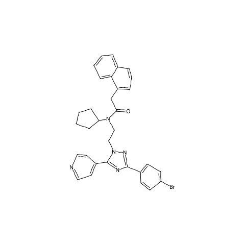 O=C(Cc1cccc2ccccc12)N(CCn1nc(-c2ccc(Br)cc2)nc1-c1ccncc1)C1CCCC1